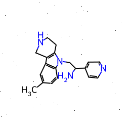 Cc1ccc2c(c1)c1c(n2CC(N)c2ccncc2)CCNC1